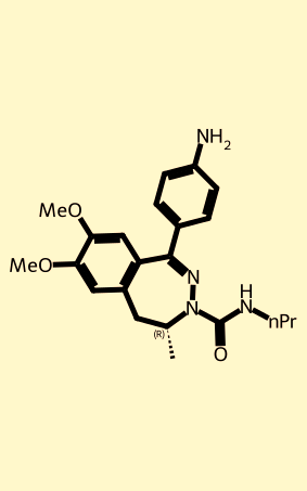 CCCNC(=O)N1N=C(c2ccc(N)cc2)c2cc(OC)c(OC)cc2C[C@H]1C